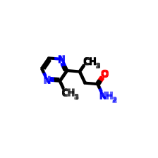 Cc1nccnc1C(C)CC(N)=O